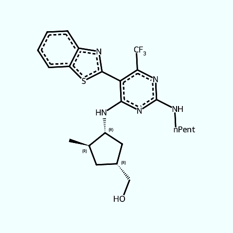 CCCCCNc1nc(N[C@@H]2C[C@H](CO)C[C@H]2C)c(-c2nc3ccccc3s2)c(C(F)(F)F)n1